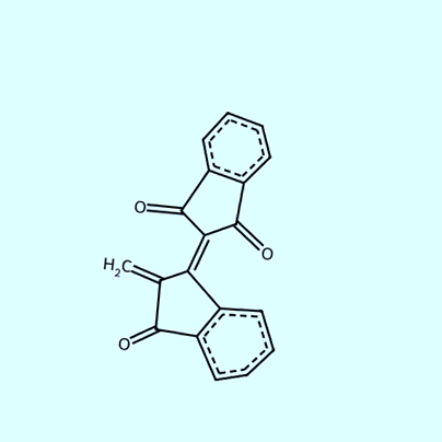 C=C1C(=O)c2ccccc2C1=C1C(=O)c2ccccc2C1=O